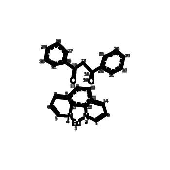 C1=C[N]2[Eu][N]3C=CC=c4ccc(c2c43)=C1.O=C(CC(=O)c1ccccc1)c1ccccc1